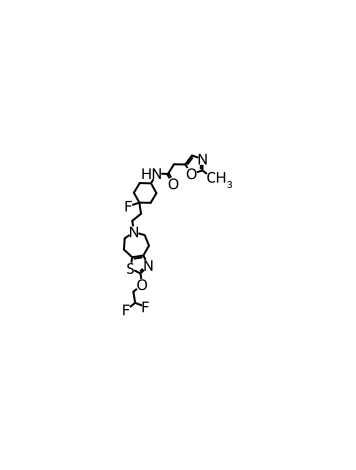 Cc1ncc(CC(=O)NC2CCC(F)(CCN3CCc4nc(OCC(F)F)sc4CC3)CC2)o1